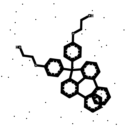 OCCOc1ccc(C2(c3ccc(OCCO)cc3)c3cccc(-c4ccccc4)c3-c3c(-c4ccccc4)cccc32)cc1